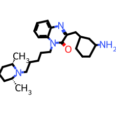 C[C@@H]1CCC[C@H](C)N1CCCCCn1c(=O)c(CC2CCCC(N)C2)nc2ccccc21